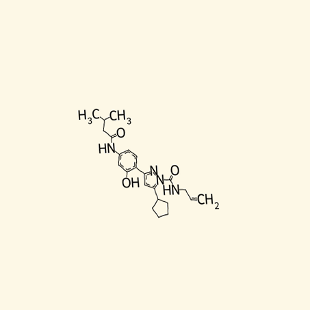 C=CCNC(=O)n1nc(-c2ccc(NC(=O)CC(C)C)cc2O)cc1C1CCCC1